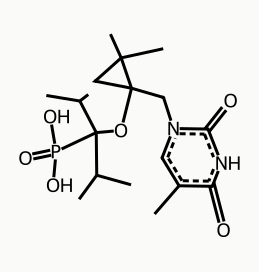 Cc1cn(CC2(OC(C(C)C)(C(C)C)P(=O)(O)O)CC2(C)C)c(=O)[nH]c1=O